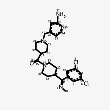 C/N=C(\c1cc(Cl)cc(Cl)c1)C1CCN(C(=O)C2CCN(Cc3ccnc(N)c3)CC2)CC1